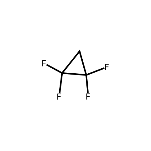 FC1(F)CC1(F)F